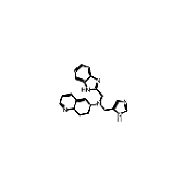 C1=CC2=CC(N(Cc3cnc[nH]3)Cc3nc4ccccc4[nH]3)CCC2N=C1